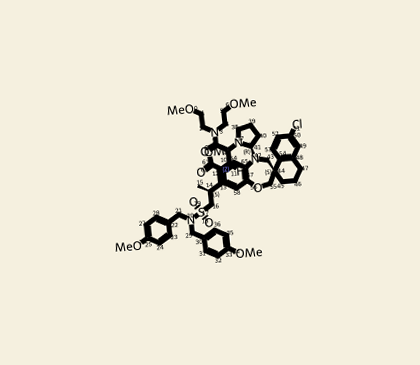 COCCN(CCOC)C(=O)C(/C(F)=C/C[C@H](C)CS(=O)(=O)N(Cc1ccc(OC)cc1)Cc1ccc(OC)cc1)N1CCC[C@H]1N1C[C@@]2(CCCc3cc(Cl)ccc32)COc2ccc(C(=O)OC)cc21